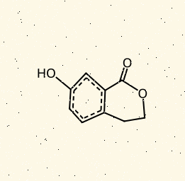 O=C1OCCc2ccc(O)cc21